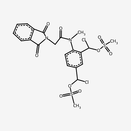 CN(C(=O)CN1C(=O)c2ccccc2C1=O)c1ccc(C(Cl)OS(C)(=O)=O)cc1C(Cl)OS(C)(=O)=O